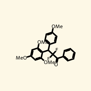 COc1ccc(C(c2c(OC)cc(OC)cc2OC)C(F)(F)C(=O)c2ccccc2)cc1